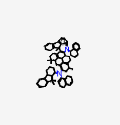 CC1CC(N(C2=CCCC3=C2CCC=C3)C2CCCC3C4CCCCC4C(C)(C)C32)=C2CC3C4=C(CCC3(C)C)C3=C(C5CCC1=C2C45)N(C1CCCc2ccccc21)C1=C2C=CC4=C([C@H]21)C3(C)C1=C4C=CCC1